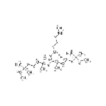 CNCCCOCC(CC(C)(C)OCCC(C)(C)OC)C(C)(C)OCCC(C)(N)OC